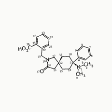 CN(C)[C@]1(c2ccccc2)CC[C@@]2(CC1)CC(=O)N(Cc1ccccc1C(=O)O)C2